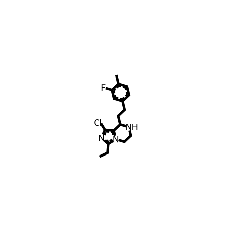 CCc1nc(Cl)c2n1CCNC2CCc1ccc(C)c(F)c1